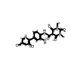 CN1C(=O)C(C(=O)Nc2ccc(-c3ncc(Cl)cc3Cl)cc2O)C(=O)N(C)C1=O